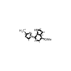 COc1cnc(-n2ccc(C)n2)c2[nH]ccc12